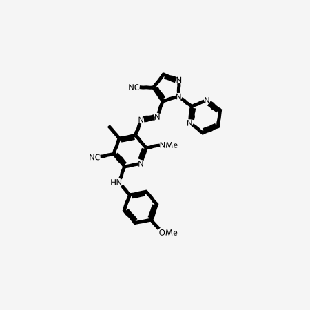 CNc1nc(Nc2ccc(OC)cc2)c(C#N)c(C)c1/N=N/c1c(C#N)cnn1-c1ncccn1